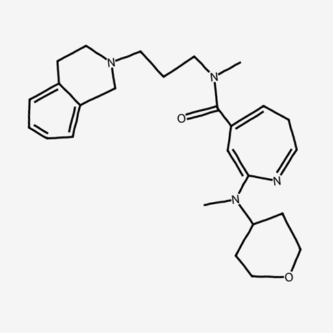 CN(CCCN1CCc2ccccc2C1)C(=O)C1=CCC=NC(N(C)C2CCOCC2)=C1